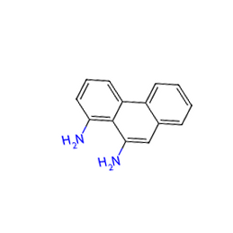 Nc1cccc2c1c(N)cc1ccccc12